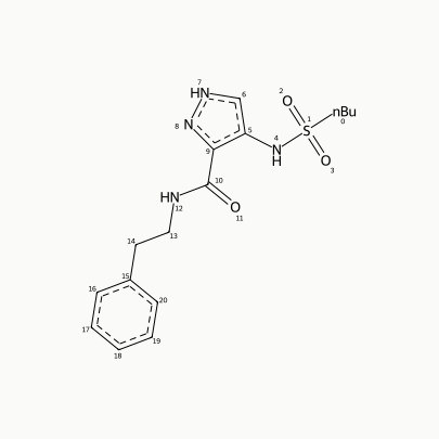 CCCCS(=O)(=O)Nc1c[nH]nc1C(=O)NCCc1ccccc1